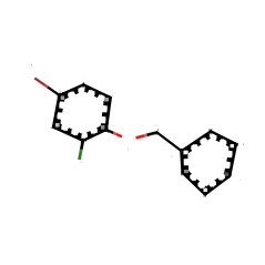 Clc1cc(Br)ccc1OCc1ccccc1